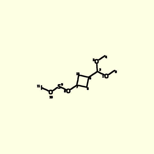 COC(OC)C1CC(OSOI)C1